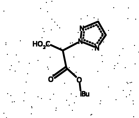 CCC(C)OC(=O)C(C(=O)O)n1nccn1